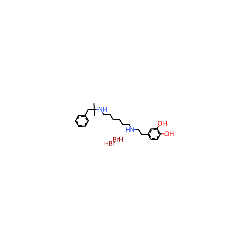 Br.Br.CC(C)(Cc1ccccc1)NCCCCCCNCCc1ccc(O)c(O)c1